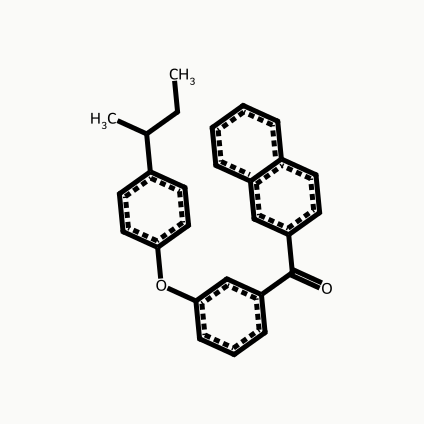 CCC(C)c1ccc(Oc2cccc(C(=O)c3ccc4ccccc4c3)c2)cc1